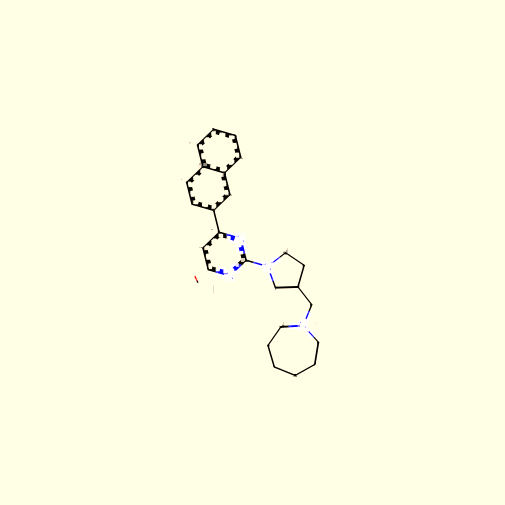 CO.c1ccc2cc(-c3ccnc(N4CCC(CN5CCCCCC5)C4)n3)ccc2c1